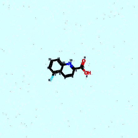 O=C(O)c1ccc2c(F)cccc2n1